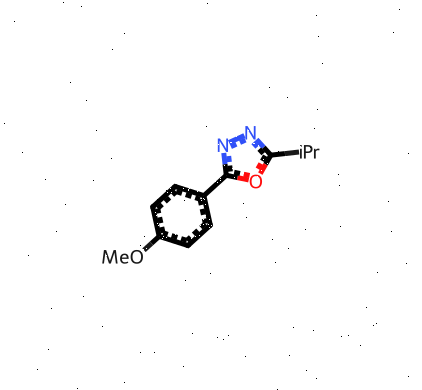 COc1ccc(-c2nnc(C(C)C)o2)cc1